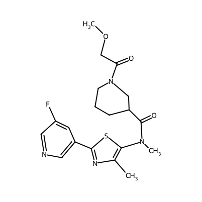 COCC(=O)N1CCCC(C(=O)N(C)c2sc(-c3cncc(F)c3)nc2C)C1